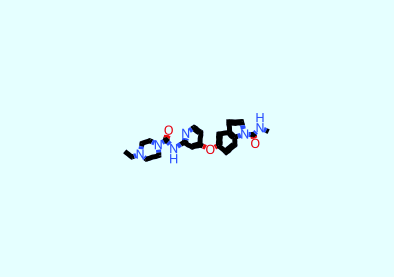 CCN1CCN(C(=O)Nc2cc(Oc3ccc4c(ccn4C(=O)NC)c3)ccn2)CC1